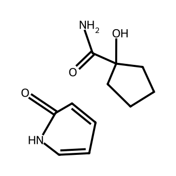 NC(=O)C1(O)CCCC1.O=c1cccc[nH]1